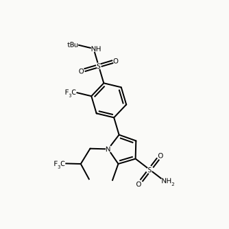 Cc1c(S(N)(=O)=O)cc(-c2ccc(S(=O)(=O)NC(C)(C)C)c(C(F)(F)F)c2)n1CC(C)C(F)(F)F